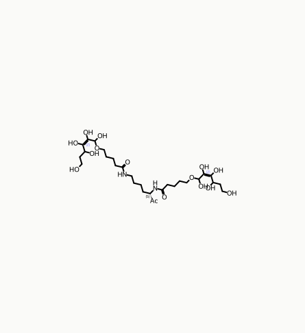 CC(=O)[C@H](CCCCNC(=O)CCCCOC(O)/C(O)=C(/O)C(O)CCO)NC(=O)CCCCOC(O)/C(O)=C(/O)C(O)CCO